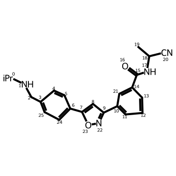 CC(C)NCc1ccc(-c2cc(-c3cccc(C(=O)NC(C)C#N)c3)no2)cc1